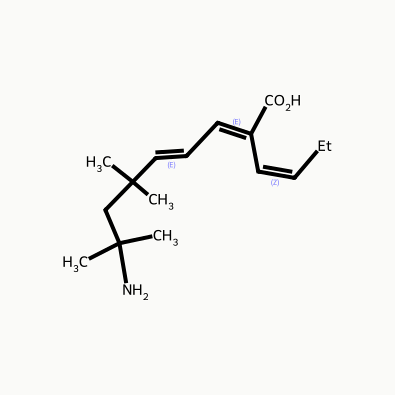 CC\C=C/C(=C\C=C\C(C)(C)CC(C)(C)N)C(=O)O